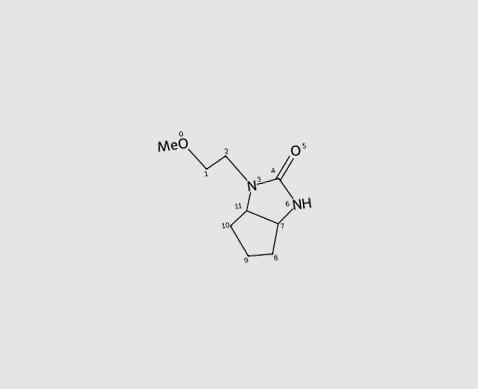 COCCN1C(=O)NC2CCCC21